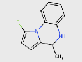 CC1Nc2ccccc2-n2c(F)ccc21